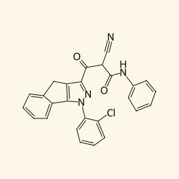 N#CC(C(=O)Nc1ccccc1)C(=O)c1nn(-c2ccccc2Cl)c2c1Cc1ccccc1-2